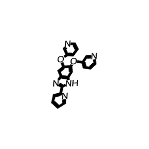 c1ccc(-c2nc3cc(Oc4cccnc4)c(Oc4cccnc4)cc3[nH]2)nc1